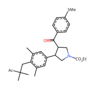 CCOC(=O)N1CC(C(=O)c2ccc(SC)cc2)C(c2cc(C)c(CC(C)(C)C(C)=O)c(C)c2)C1